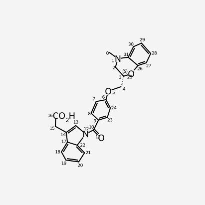 CN1C[C@@H](COc2ccc(C(=O)n3cc(CC(=O)O)c4ccccc43)cc2)Oc2ccccc21